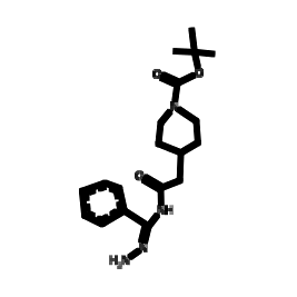 CC(C)(C)OC(=O)N1CCC(CC(=O)N/C(=N/N)c2ccccc2)CC1